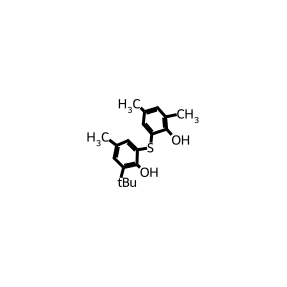 Cc1cc(C)c(O)c(Sc2cc(C)cc(C(C)(C)C)c2O)c1